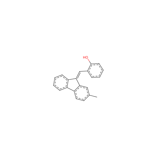 Cc1ccc2c(c1)C(=Cc1ccccc1O)c1ccccc1-2